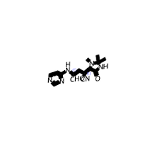 CN1/C(=C(C#N)\C=C(/C=O)Nc2ccncn2)C(=O)NC1(C)C